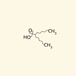 CCCCCCC(CCCCCC)C1(CO)COC1